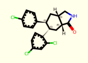 O=C1NC[C@H]2C[C@H](c3ccc(Cl)cc3)[C@@H](c3ccc(Cl)cc3Cl)C[C@@H]12